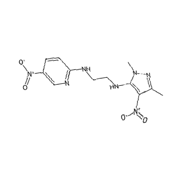 Cc1nn(C)c(NCCNc2ccc([N+](=O)[O-])cn2)c1[N+](=O)[O-]